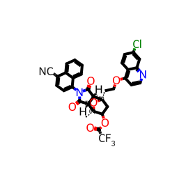 C[C@]12O[C@](CCOc3ccnc4cc(Cl)ccc34)(CC1OC(=O)C(F)(F)F)[C@H]1C(=O)N(c3ccc(C#N)c4ccccc34)C(=O)[C@H]12